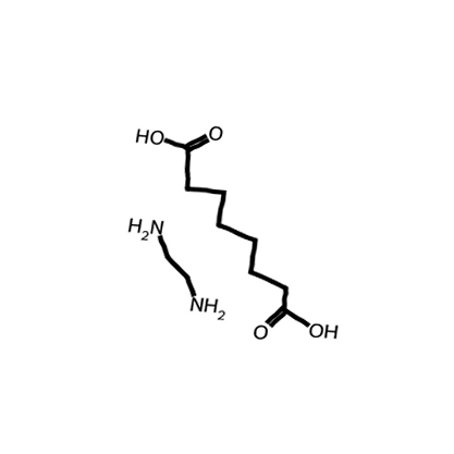 NCCN.O=C(O)CCCCCCC(=O)O